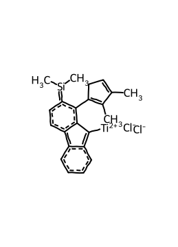 CC1=CCC(c2c3c(ccc2=[Si](C)C)=c2ccccc2=[C]3[Ti+2])=C1C.[Cl-].[Cl-]